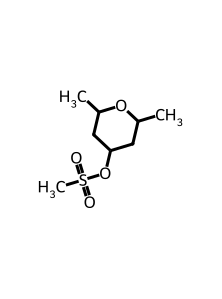 CC1CC(OS(C)(=O)=O)CC(C)O1